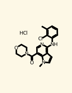 Cc1cccc(Nc2ncc(C(=O)N3CCOCC3)c3c2ccn3C)c1Cl.Cl